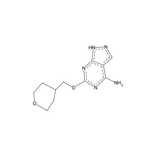 Nc1nc(OCC2CCOCC2)nc2[nH]ncc12